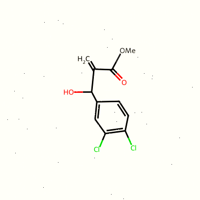 C=C(C(=O)OC)C(O)c1ccc(Cl)c(Cl)c1